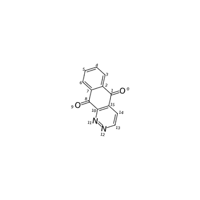 O=C1c2ccccc2C(=O)c2nnccc21